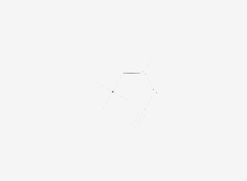 C#CNN(CC)CC(C)(C)CCC